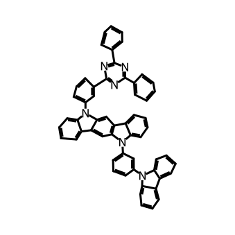 c1ccc(-c2nc(-c3ccccc3)nc(-c3cccc(-n4c5ccccc5c5cc6c(cc54)c4ccccc4n6-c4cccc(-n5c6ccccc6c6ccccc65)c4)c3)n2)cc1